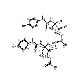 CC(C)(NC(=O)Nc1ccc(Br)cc1)C(=O)NCC(=O)O.CCC(CC)(NC(=O)Nc1ccc(Br)cc1)C(=O)NCC(=O)O